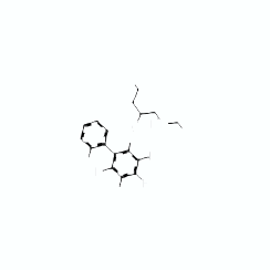 CCCC(C)CPCF.Fc1ccccc1-c1c(F)c(F)c(F)c(F)c1F